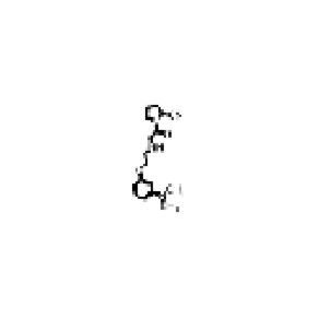 CN(C)c1cccc(OCCNCC(=O)N2CCCC2C#N)c1